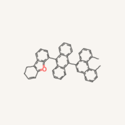 Cc1cccc2cc(-c3c4ccccc4c(-c4cccc5c6c(oc45)C=CCC6)c4ccccc34)c3cccc(C)c3c12